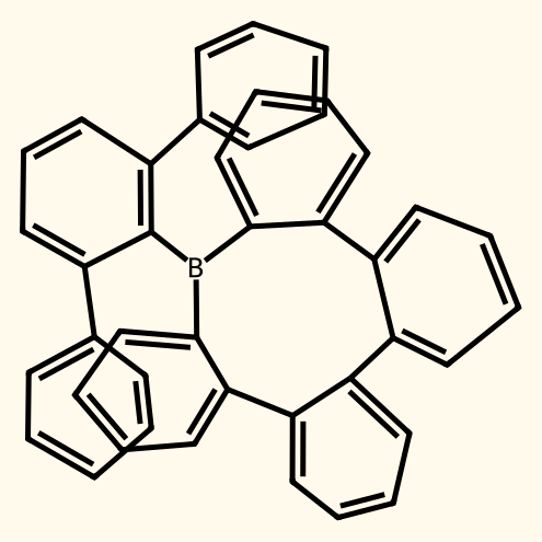 c1ccc(-c2cccc(-c3ccccc3)c2B2c3ccccc3-c3ccccc3-c3ccccc3-c3ccccc32)cc1